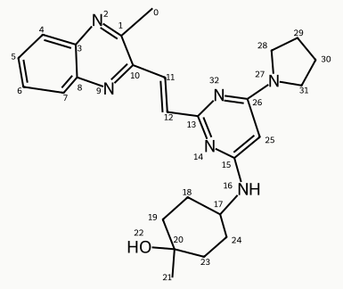 Cc1nc2ccccc2nc1/C=C/c1nc(NC2CCC(C)(O)CC2)cc(N2CCCC2)n1